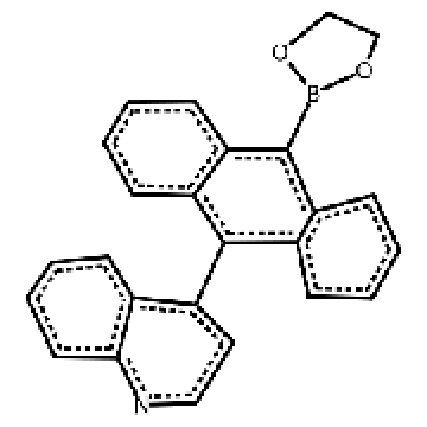 c1ccc2c(-c3c4ccccc4c(B4OCCO4)c4ccccc34)ccnc2c1